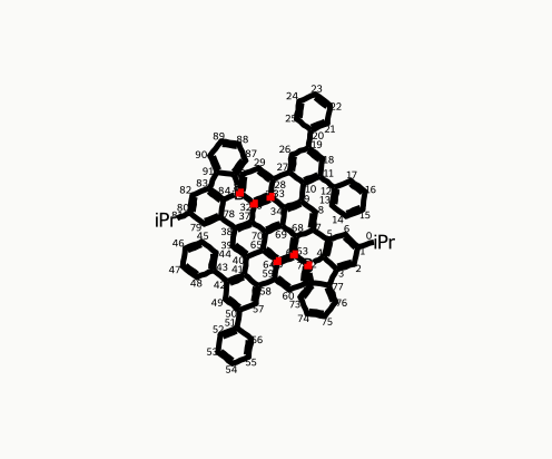 CC(C)c1cc2c3c(c1)-c1cc(-c4c(-c5ccccc5)cc(-c5ccccc5)cc4-c4ccccc4)c4cc5c6c(cc(-c7c(-c8ccccc8)cc(-c8ccccc8)cc7-c7ccccc7)c7cc(c1c4c76)B3c1ccccc1-2)-c1cc(C(C)C)cc2c1B5c1ccccc1-2